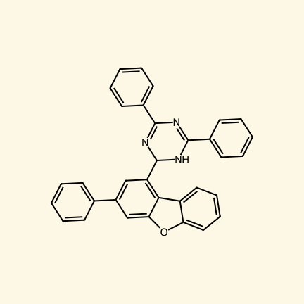 c1ccc(C2=NC(c3cc(-c4ccccc4)cc4oc5ccccc5c34)NC(c3ccccc3)=N2)cc1